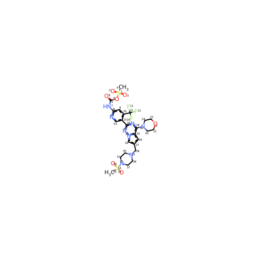 CS(=O)(=O)OC(=O)Nc1cc(C(F)(F)F)c(-c2nc(N3CCOCC3)c3cc(CN4CCN(S(C)(=O)=O)CC4)cn3n2)cn1